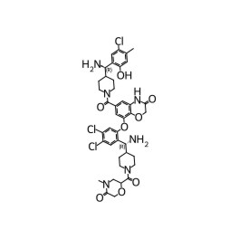 Cc1cc(O)c([C@H](N)C2CCN(C(=O)c3cc4c(c(Oc5cc(Cl)c(Cl)cc5[C@H](N)C5CCN(C(=O)C6CN(C)C(=O)CO6)CC5)c3)OCC(=O)N4)CC2)cc1Cl